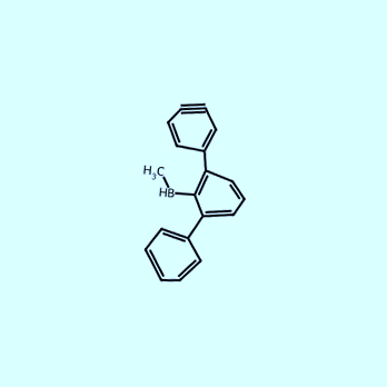 CBc1c(-c2cc#ccc2)cccc1-c1ccccc1